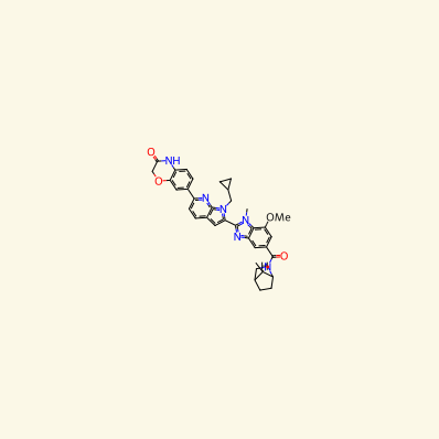 COc1cc(C(=O)N2CC3CCC2[C@@H]3C)cc2nc(-c3cc4ccc(-c5ccc6c(c5)OCC(=O)N6)nc4n3CC3CC3)n(C)c12